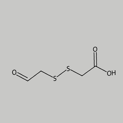 O=CCSSCC(=O)O